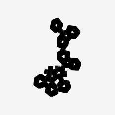 C[Si]1(C)c2nc(-n3c4ccccc4c4cc(-c5ccc6c(c5)c5ccccc5n6-c5ccccc5)ccc43)nc(-c3ccccc3)c2-c2c1c1ccccc1c1ccccc21